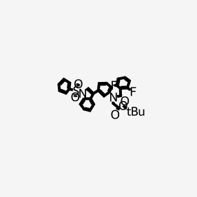 CC(C)(C)OC(=O)CN(C(=O)c1c(F)cccc1F)c1cccc(-c2cn(S(=O)(=O)c3ccccc3)c3ccccc23)c1